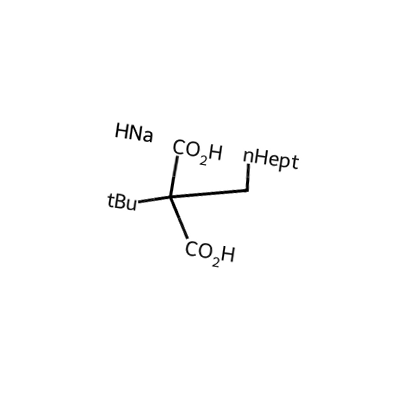 CCCCCCCCC(C(=O)O)(C(=O)O)C(C)(C)C.[NaH]